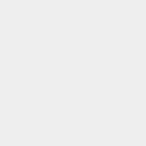 c1ccc(-c2ccc3c(c2)c2cc4ccccc4cc2n3-c2ccc(-c3ccc4c(ccc5ccccc54)c3)c3cnncc23)cc1